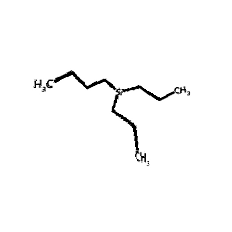 CCCC[Si](CCC)CCC